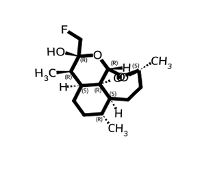 C[C@@H]1CC[C@H]2[C@@H](C)[C@](O)(CF)O[C@@H]3O[C@]4(C)CC[C@@H]1[C@]32OO4